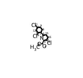 COC(=O)c1nc(-c2ccc(Cl)cc2Cl)ccc1Cl